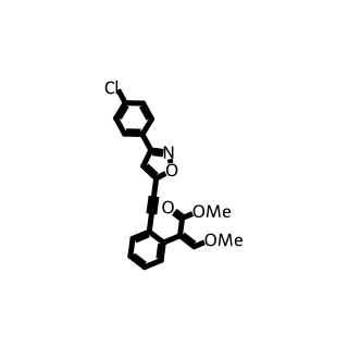 COC=C(C(=O)OC)c1ccccc1C#Cc1cc(-c2ccc(Cl)cc2)no1